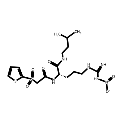 CC(C)C[CH]NC(=O)[C@H](CCCNC(=N)N[N+](=O)[O-])NC(=O)CS(=O)(=O)c1cccs1